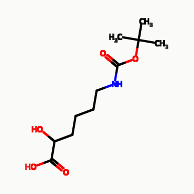 CC(C)(C)OC(=O)NCCCCC(O)C(=O)O